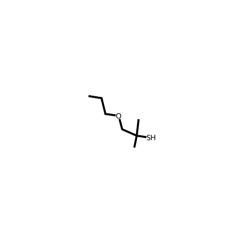 CCCOCC(C)(C)S